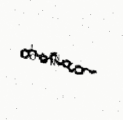 CCCC1CCC(Cc2cccc(Cc3nccc(C4=CC=C(C(=O)C[C@H](C)c5ccccc5)C4)n3)c2)CC1